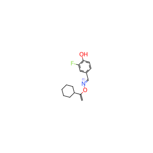 C=C(O/N=C/c1ccc(O)c(F)c1)C1CCCCC1